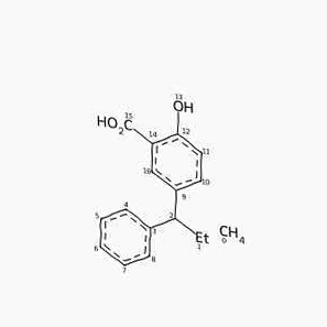 C.CCC(c1ccccc1)c1ccc(O)c(C(=O)O)c1